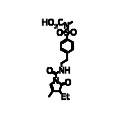 CCC1C(=O)N(C(=O)NCCc2ccc(S(=O)(=O)N(C)C(=O)O)cc2)C=C1C